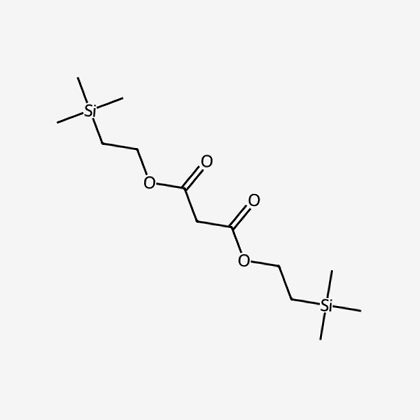 C[Si](C)(C)CCOC(=O)CC(=O)OCC[Si](C)(C)C